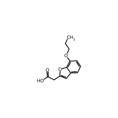 CCCOc1cccc2cc(CC(=O)O)oc12